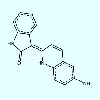 Nc1ccc2c(c1)C=CC(=C1C(=O)Nc3ccccc31)N2